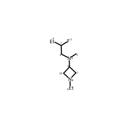 CCC(F)CN(C)C1CN(CC)C1